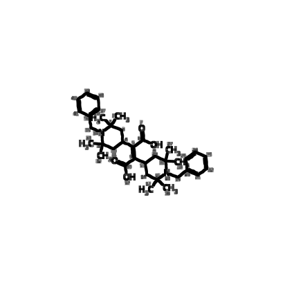 CC1(C)CC(C(C(=O)O)=C(C(=O)O)C2CC(C)(C)N(Cc3ccccc3)C(C)(C)C2)CC(C)(C)N1Cc1ccccc1